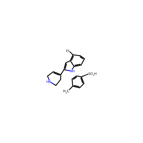 CCc1cccc2[nH]c(C3=CCNCC3)cc12.Cc1ccc(S(=O)(=O)O)cc1